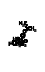 CCCC(C)COc1ccc(C(C(N)=O)=C(O)[C@H](C)c2ccc(F)cc2)cc1